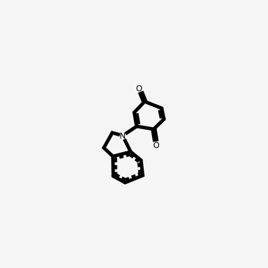 O=C1C=CC(=O)C(N2CCc3ccccc32)=C1